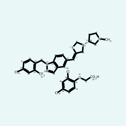 CN1CC[C@@H](N2CS/C(=C\c3ccc4c(cnn4Cc4ccc(Cl)cc4C(F)(F)F)c3)C2)C1.O=C(O)COc1ccc(Cl)cc1Cl